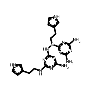 Nc1nc(NCCc2cc[nH]c2)nc(NN(CCc2cc[nH]c2)c2nc(N)nc(N)n2)n1